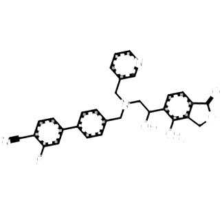 Cc1c(C(O)CN(Cc2ccc(-c3ccc(C#N)c(F)c3)cc2)Cc2cccnc2)ccc2c1COC2=O